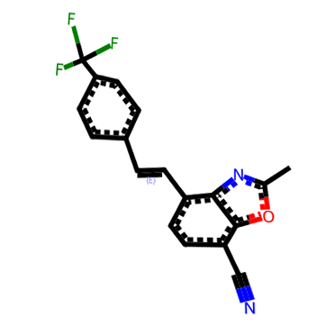 Cc1nc2c(/C=C/c3ccc(C(F)(F)F)cc3)ccc(C#N)c2o1